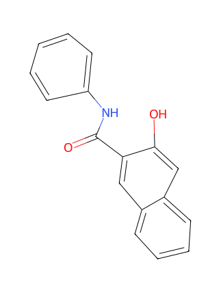 O=C(Nc1ccccc1)c1cc2ccccc2cc1O